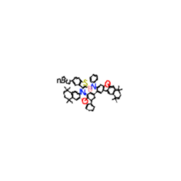 CCCCc1ccc2sc3c(c2c1)N(c1ccc2c(c1)C(C)(C)CCC2(C)C)c1c2c(cc4c1oc1ccccc14)-c1cc4c(cc1N(c1ccccc1)B32)oc1cc2c(cc14)C(C)(C)CCC2(C)C